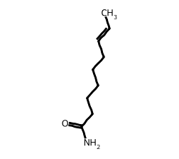 C/C=C/CCCCCC(N)=O